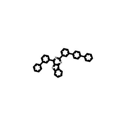 c1ccc(-c2ccc(-c3cccc(-c4nc(-c5cccc(-c6ccccc6)c5)c5sc6ccccc6c5n4)c3)cc2)cc1